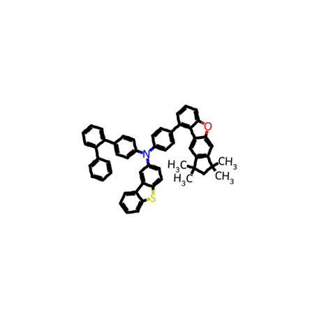 CC1(C)CC(C)(C)c2cc3c(cc21)oc1cccc(-c2ccc(N(c4ccc(-c5ccccc5-c5ccccc5)cc4)c4ccc5sc6ccccc6c5c4)cc2)c13